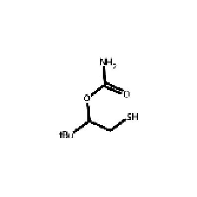 CC(C)(C)C(CS)OC(N)=O